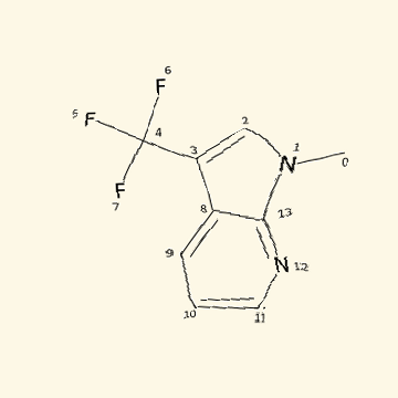 Cn1cc(C(F)(F)F)c2cc[c]nc21